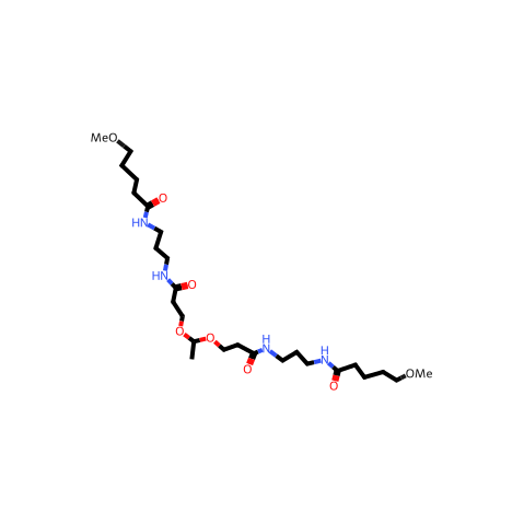 COCCCCC(=O)NCCCNC(=O)CCOC(C)OCCC(=O)NCCCNC(=O)CCCCOC